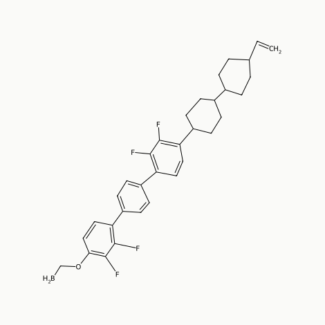 BCOc1ccc(-c2ccc(-c3ccc(C4CCC(C5CCC(C=C)CC5)CC4)c(F)c3F)cc2)c(F)c1F